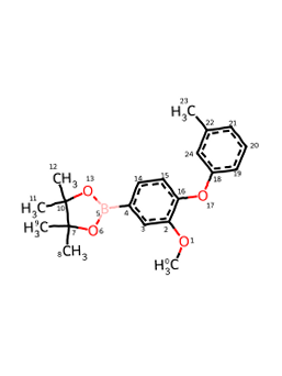 COc1cc(B2OC(C)(C)C(C)(C)O2)ccc1Oc1cccc(C)c1